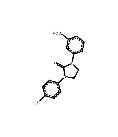 O=C(O)c1cccc(N2CCN(c3ccc(C(F)(F)F)cc3)C2=O)c1